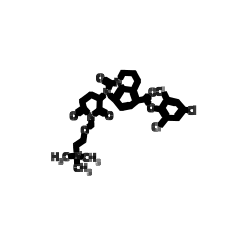 C[Si](C)(C)CCOCN1C(=O)CCC(n2c(=O)n3c4c(c(C(=O)Oc5c(Cl)cc(Cl)cc5Cl)ccc42)CCC3)C1=O